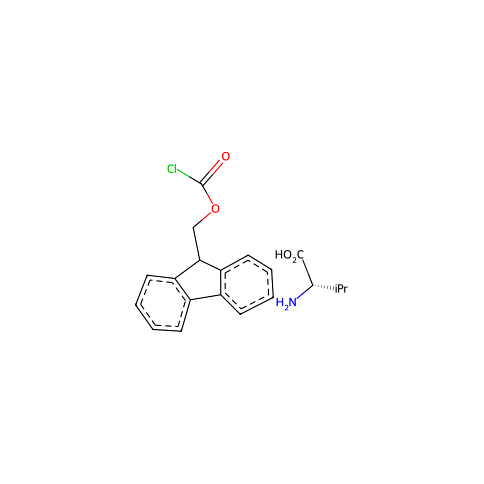 CC(C)[C@H](N)C(=O)O.O=C(Cl)OCC1c2ccccc2-c2ccccc21